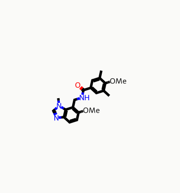 COc1ccc2ncn(C)c2c1CNC(=O)c1cc(C)c(OC)c(C)c1